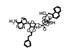 Nc1ncnc2c1ncn2[C@@H]1O[C@H](COP(=O)(O)OP(=O)(O)OP(=O)(O)Cc2cccc3ccccc23)[C@@H]2OC(CCc3ccccc3)OC21